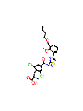 CCCCOCc1cccc(-c2csc(NC(=O)c3cc(Cl)c(C=C(C)C(=O)O)c(Cl)c3)n2)c1OC